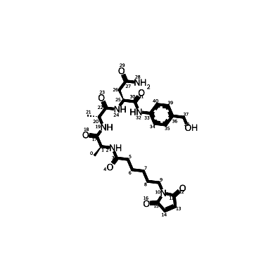 C[C@H](NC(=O)CCCCCN1C(=O)C=CC1=O)C(=O)N[C@H](C)C(=O)N[C@@H](CC(N)=O)C(=O)Nc1ccc(CO)cc1